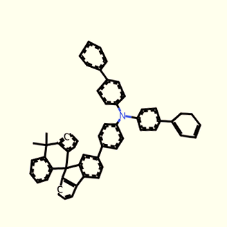 CC1(C)c2ccccc2C2(C3=C(C=CCC3)c3ccc(-c4ccc(N(c5ccc(C6=CC=CCC6)cc5)c5ccc(-c6ccccc6)cc5)cc4)cc32)c2ccccc21